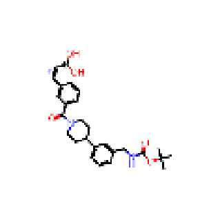 CC(C)(C)OC(=O)NCc1cccc(C2CCN(C(=O)c3cccc(/C=C\B(O)O)c3)CC2)c1